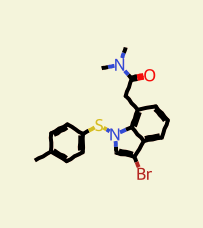 Cc1ccc(Sn2cc(Br)c3cccc(CC(=O)N(C)C)c32)cc1